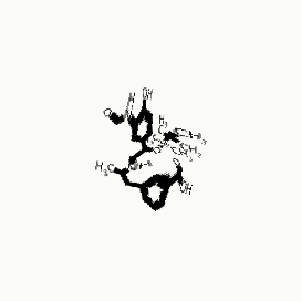 CC(Cc1cccc(C(=O)O)c1)NCC(O[Si](C)(C)C(C)(C)C)c1ccc(O)c(NC=O)c1